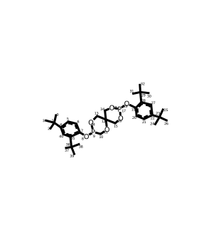 CC(C)(C)c1ccc(OP2COC3(CO2)COP(Oc2ccc(C(C)(C)C)cc2C(C)(C)C)OC3)c(C(C)(C)C)c1